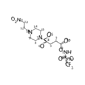 O=C(CCS(=O)(=O)N1CCN(CC[N+](=O)[O-])CC1)ONS(=O)(=O)C(F)(F)F